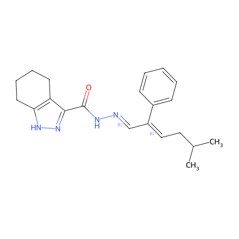 CC(C)C/C=C(/C=N/NC(=O)c1n[nH]c2c1CCCC2)c1ccccc1